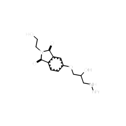 CCCNCC(O)COc1ccc2c(c1)C(=O)N(CCO)C2=O